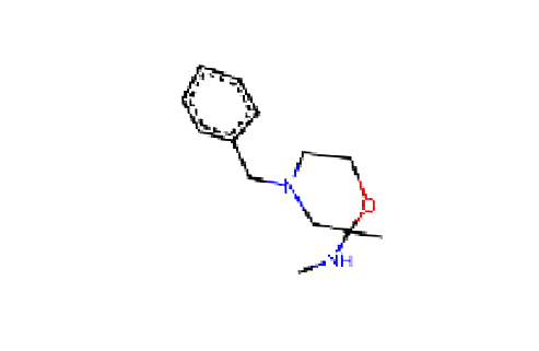 CNC1(C)CN(Cc2ccccc2)CCO1